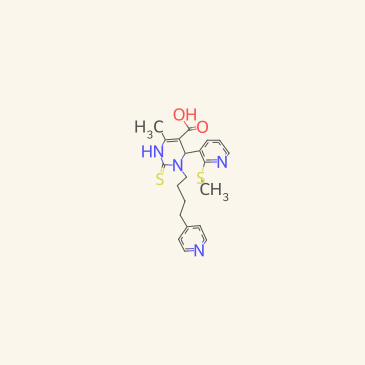 CSc1ncccc1C1C(C(=O)O)=C(C)NC(=S)N1CCCCc1ccncc1